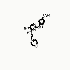 CSc1ccc(Nc2ncc(Br)c(NCCN3CCOCC3)n2)cc1